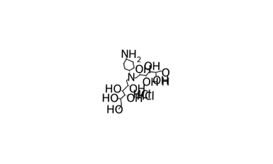 Cl.Cl.N[C@H]1CC[C@H](N(C[C@H](O)[C@@H](O)[C@H](O)[C@H](O)CO)C[C@H](O)[C@@H](O)[C@H](O)[C@H](O)CO)CC1